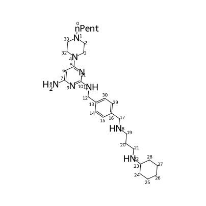 CCCCCN1CCN(c2cc(N)nc(NCc3ccc(CNCCCNC4CCCCC4)cc3)n2)CC1